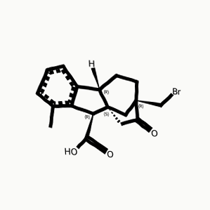 Cc1cccc2c1[C@H](C(=O)O)[C@@]13CC(=O)[C@@](CBr)(CC[C@@H]21)C3